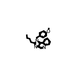 CCCCc1nc2cnc3ccccc3c2n1Cc1ccc(OC)cc1